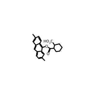 Cc1ccc2c(OC(=O)C3CCCCC3C(=O)O)c3cc(C)ccc3cc2c1